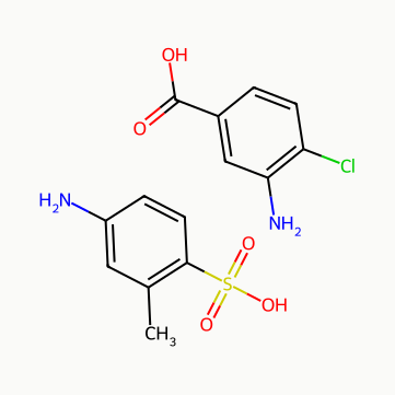 Cc1cc(N)ccc1S(=O)(=O)O.Nc1cc(C(=O)O)ccc1Cl